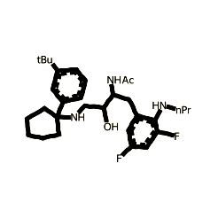 CCCNc1c(F)cc(F)cc1CC(NC(C)=O)C(O)CNC1(c2cccc(C(C)(C)C)c2)CCCCC1